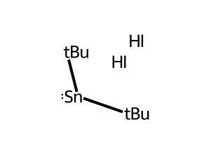 C[C](C)(C)[Sn][C](C)(C)C.I.I